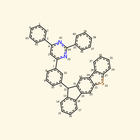 c1ccc(-c2cc(-c3cccc(C4c5ccccc5-c5cc6sc7ccccc7c6cc54)c3)nc(-c3ccccc3)n2)cc1